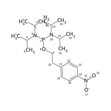 CC(C)N(C(C)C)P(OCCc1ccc([N+](=O)[O-])cc1)N(C(C)C)C(C)C